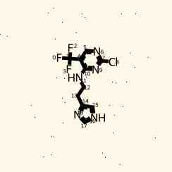 FC(F)(F)c1cnc(Cl)nc1NCCc1c[nH]cn1